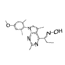 CCC(=NO)c1nc(C)nc2c1c(C)cn2-c1c(C)cc(OC)cc1C